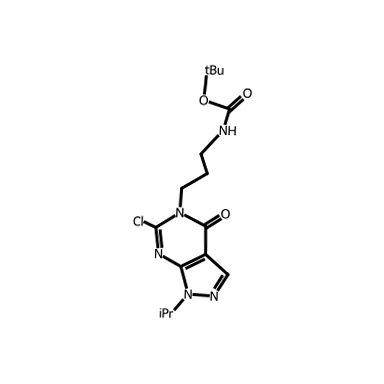 CC(C)n1ncc2c(=O)n(CCCNC(=O)OC(C)(C)C)c(Cl)nc21